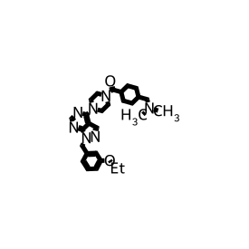 CCOc1cccc(Cn2ncc3c(N4CCN(C(=O)C5CCC(CN(C)C)CC5)CC4)ncnc32)c1